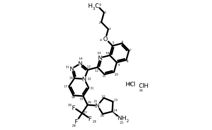 CCCCOc1cccc2ccc(-c3nnc4ccc(C(N5CC[C@@H](N)C5)C(F)(F)F)cn34)nc12.Cl.Cl